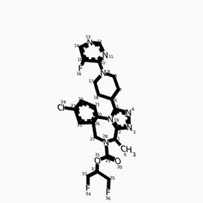 CC1c2nnc(C3CCN(c4ncncc4F)CC3)n2-c2ccc(Cl)cc2CN1C(=O)OC(CF)CF